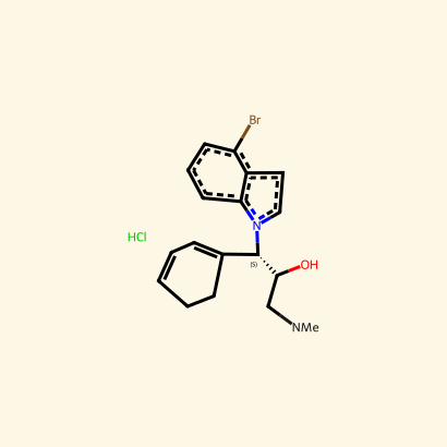 CNCC(O)[C@H](C1=CC=CCC1)n1ccc2c(Br)cccc21.Cl